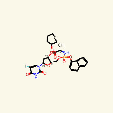 C[C@H](NP(=O)(OC[C@H]1O[C@@H](n2cc(F)c(=O)[nH]c2=O)C[C@H]1O)Oc1cccc2ccccc12)C(=O)OC1CCCCC1